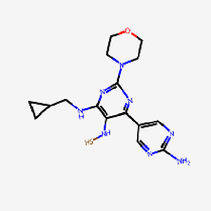 Nc1ncc(-c2nc(N3CCOCC3)nc(NCC3CC3)c2NS)cn1